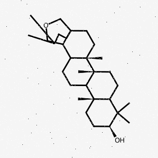 CC1(C)CCC23CC[C@@]4(C)C(CCC5[C@@]6(C)CC[C@H](O)C(C)(C)C6CC[C@]54C)C2C1OC3